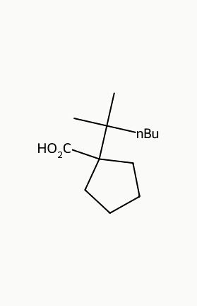 CCCCC(C)(C)C1(C(=O)O)CCCC1